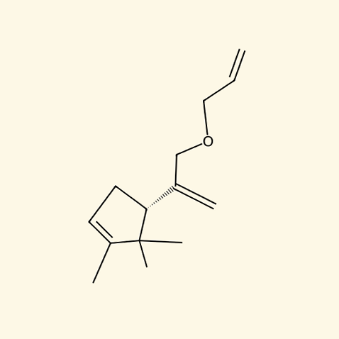 C=CCOCC(=C)[C@H]1CC=C(C)C1(C)C